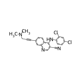 CN(C)CC#Cc1ccc2c(Nc3ccc(Cl)cc3Cl)c(C#N)cnc2c1